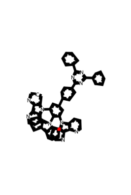 c1ccc(-c2nc(-c3ccccc3)nc(-c3ccc(-c4cc(-n5c6cccnc6c6ncccc65)c(-n5c6ccccc6c6ccccc65)c(-n5c6cccnc6c6ncccc65)c4)cc3)n2)cc1